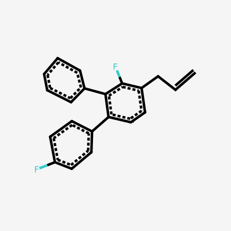 C=CCc1c[c]c(-c2ccc(F)cc2)c(-c2ccccc2)c1F